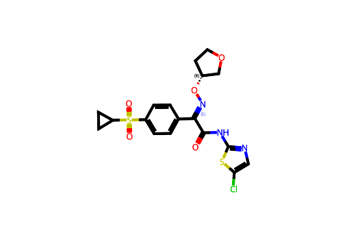 O=C(Nc1ncc(Cl)s1)/C(=N/O[C@@H]1CCOC1)c1ccc(S(=O)(=O)C2CC2)cc1